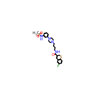 CS(=O)(=O)Nc1cccc(N2CCN(CCCCNC(=O)C3=Cc4cc(F)ccc4SC3)CC2)c1